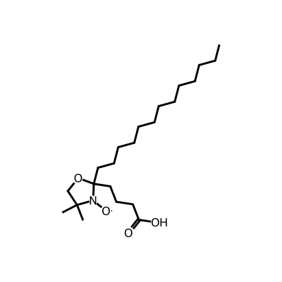 CCCCCCCCCCCCCC1(CCCC(=O)O)OCC(C)(C)N1[O]